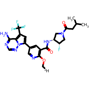 [2H]COc1ncc(-c2cc(C(F)(F)F)c3c(N)ncnn23)cc1C(=O)N[C@@H]1CN(C(=O)CC(C)C)C[C@@H]1F